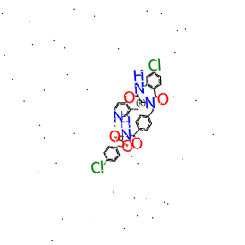 O=C(NS(=O)(=O)c1ccc(Cl)cc1)c1ccc(CN2C(=O)c3ccc(Cl)cc3NC(=O)[C@H]2Cc2cccnc2)cc1